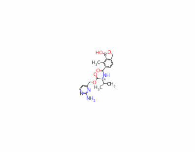 Cc1c(C(=O)N[C@H](C(=O)OCc2ccnc(N)n2)C(C)C)ccc2c1B(O)OC2